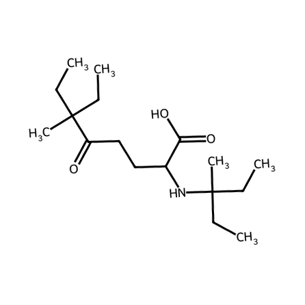 CCC(C)(CC)NC(CCC(=O)C(C)(CC)CC)C(=O)O